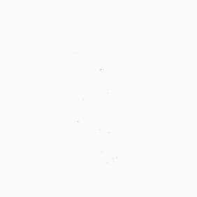 CCOC(=O)C[C@@H](c1ccc2c(c1)CCN2C(=O)OC(C)(C)C)C(C)C